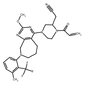 C=CC(=O)N1CCN(c2nc(OC)nc3c2CCCN(c2cccc(C)c2C(F)(F)F)C3)CC1CC#N